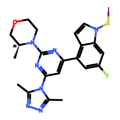 Cc1nnc(C)n1-c1cc(-c2cc(F)cc3c2ccn3SI)nc(N2CCOC[C@H]2C)n1